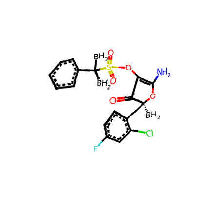 BC(B)(c1ccccc1)S(=O)(=O)OC1=C(N)O[C@@](B)(c2ccc(F)cc2Cl)C1=O